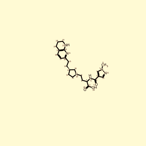 Cn1cc(C(=O)NC(CCN2CC[C@@H](CCc3ccc4c(n3)NCCC4)C2)C(=O)O)cn1